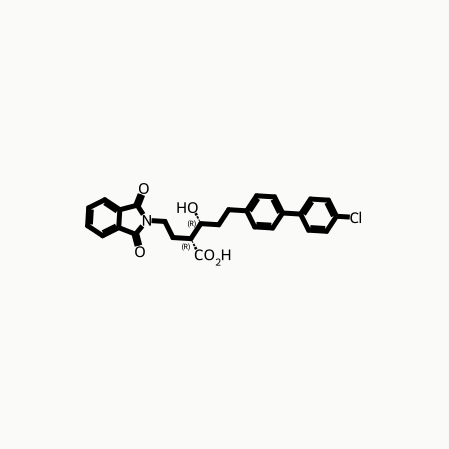 O=C(O)[C@H](CCN1C(=O)c2ccccc2C1=O)[C@H](O)CCc1ccc(-c2ccc(Cl)cc2)cc1